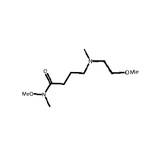 COCCN(C)CCCC(=O)N(C)OC